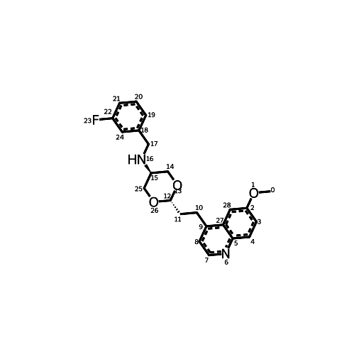 COc1ccc2nccc(CC[C@H]3OC[C@H](NCc4cccc(F)c4)CO3)c2c1